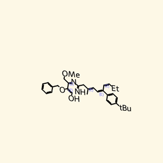 CC\C=C/C(=C\C=C(/C)CC(=N)/N=C(COC)\C(=C\O)OCc1ccccc1)c1ccc(C(C)(C)C)cc1